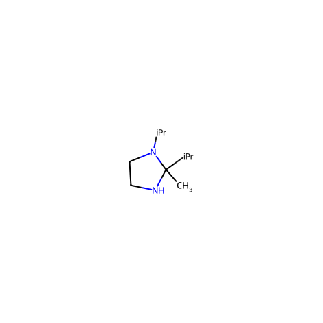 CC(C)N1CCNC1(C)C(C)C